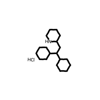 C1CCC(C(CC2CCCCN2)C2CCCCC2)CC1.Cl